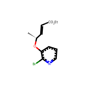 CCOC(=O)/C=C/[C@@H](C)Oc1cccnc1Br